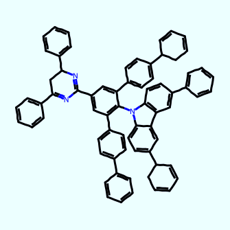 C1=CCC(c2ccc(-c3cc(C4=NC(c5ccccc5)CC(c5ccccc5)=N4)cc(-c4ccc(-c5ccccc5)cc4)c3-n3c4ccc(-c5ccccc5)cc4c4cc(C5C=CC=CC5)ccc43)cc2)C=C1